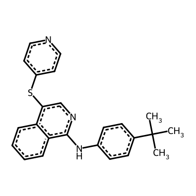 CC(C)(C)c1ccc(Nc2ncc(Sc3ccncc3)c3ccccc23)cc1